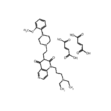 CCN(CC)CCCN1C(=O)C(CCN2CCN(c3ccccc3OC)CC2)C(=O)c2cnccc21.O=C(O)C=CC(=O)O.O=C(O)C=CC(=O)O